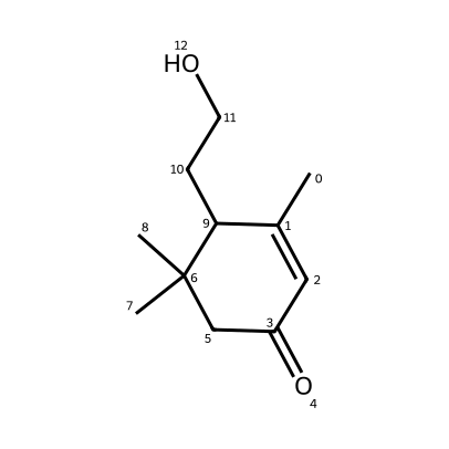 CC1=CC(=O)CC(C)(C)C1CCO